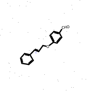 O=Cc1ccc(OC/C=C/c2ccccc2)cc1